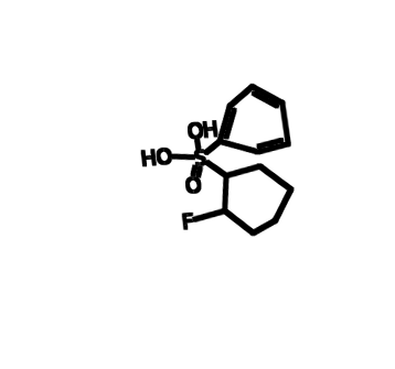 O=S(O)(O)(c1ccccc1)C1CCCCC1F